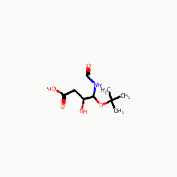 CC(C)(C)OC(NC=O)C(O)CC(=O)O